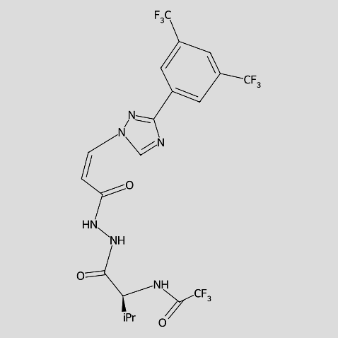 CC(C)[C@H](NC(=O)C(F)(F)F)C(=O)NNC(=O)/C=C\n1cnc(-c2cc(C(F)(F)F)cc(C(F)(F)F)c2)n1